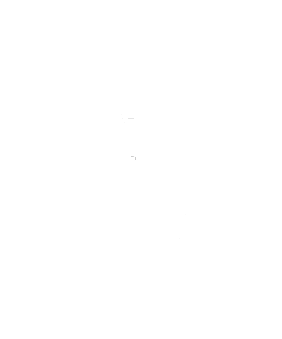 SCP1C(c2ccccc2)CC(c2ccccc2)CC1c1ccccc1